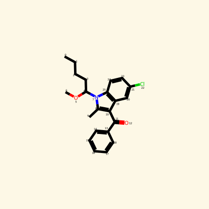 CCCCC(OC)n1c(C)c(C(=O)c2ccccc2)c2cc(Cl)ccc21